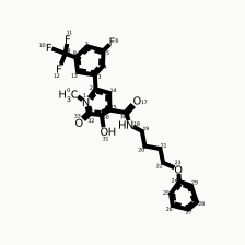 Cn1c(-c2cc(F)cc(C(F)(F)F)c2)cc(C(=O)NCCCCOc2ccccc2)c(O)c1=O